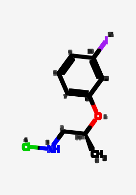 C[C@@H](CNCl)Oc1cccc(I)c1